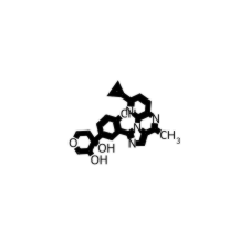 Cc1ccc(C2(O)CCOCC2O)cc1-c1ncc2c(C)nc3ccc(C4CC4)nc3n12